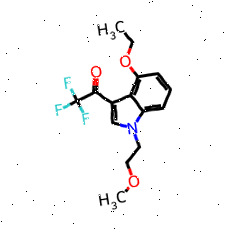 CCOc1cccc2c1c(C(=O)C(F)(F)F)cn2CCOC